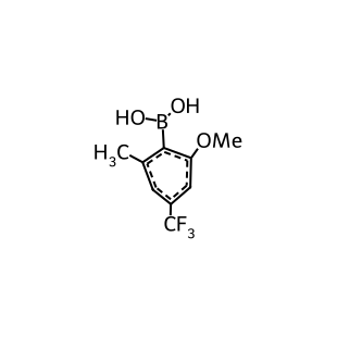 COc1cc(C(F)(F)F)cc(C)c1B(O)O